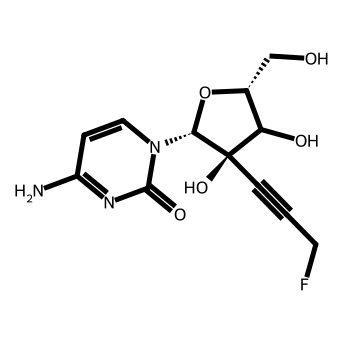 Nc1ccn([C@@H]2O[C@H](CO)C(O)[C@]2(O)C#CCF)c(=O)n1